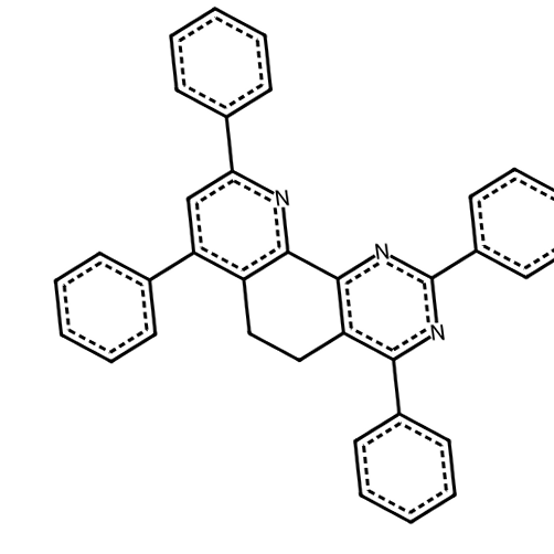 c1ccc(-c2cc(-c3ccccc3)c3c(n2)-c2nc(-c4ccccc4)nc(-c4ccccc4)c2CC3)cc1